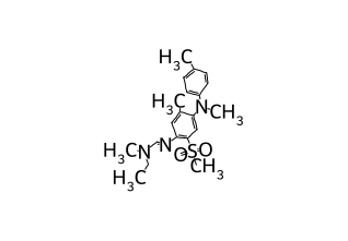 CCN(C)C=Nc1cc(C)c(N(C)c2ccc(C)cc2)cc1S(C)(=O)=O